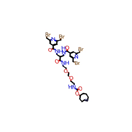 O=C(NCCOCCOCCNC(=O)C(CNC(=O)c1cc(CBr)nc(CBr)c1)CNC(=O)c1cc(CBr)nc(CBr)c1)OC1CC/C=C/CCC1